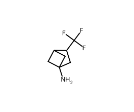 NC12CC(C1)C(C(F)(F)F)C2